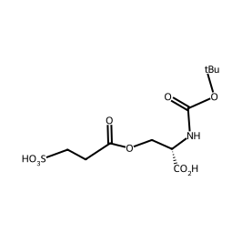 CC(C)(C)OC(=O)N[C@@H](COC(=O)CCS(=O)(=O)O)C(=O)O